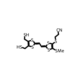 CSC1=C(SCCC#N)SC(=CC=C2SC(CS)=C(CS)S2)S1